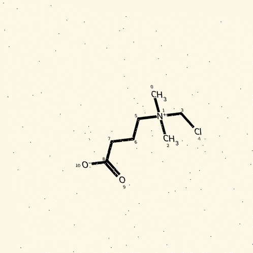 C[N+](C)(CCl)CCCC(=O)[O-]